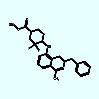 CC1=NC(Cc2ccccc2)Cc2c(NC3CCN(C(=O)OC(C)(C)C)CC3(F)F)cccc21